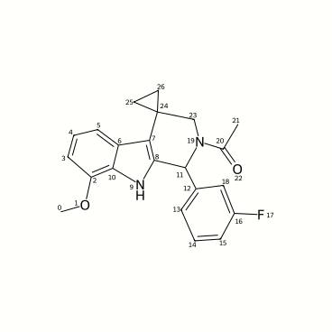 COc1cccc2c3c([nH]c12)C(c1cccc(F)c1)N(C(C)=O)CC31CC1